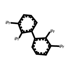 CC(C)c1cccc(-c2cccc(C(C)C)c2C(C)C)c1C(C)C